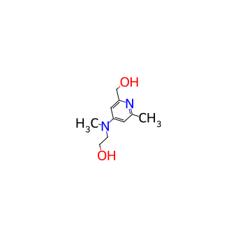 Cc1cc(N(C)CCO)cc(CO)n1